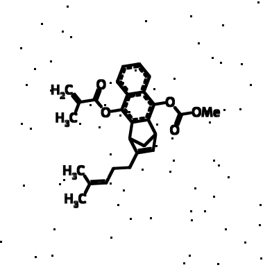 C=C(C)C(=O)Oc1c2c(c(OC(=O)OC)c3ccccc13)C1C=C(CCC=C(C)C)C2C1